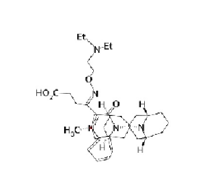 CCN(CC)CCO/N=C(\CCC(=O)O)c1nc2ccccc2n([C@H]2C[C@H]3CCC[C@@H](C2)N3[C@H]2C[C@@H]3C[C@@H](C)C[C@@H](C3)C2)c1=O